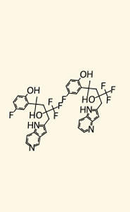 CC(C)(CC(O)(Cc1cc2cnccc2[nH]1)C(F)(F)F)c1cc(F)ccc1O.CC(C)(CC(O)(Cc1cc2ncccc2[nH]1)C(F)(F)F)c1cc(F)ccc1O